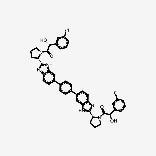 O=C([C@H](O)c1cccc(Cl)c1)N1CCC[C@H]1c1nc2ccc(-c3ccc(-c4ccc5nc([C@@H]6CCCN6C(=O)[C@H](O)c6cccc(Cl)c6)[nH]c5c4)cc3)cc2[nH]1